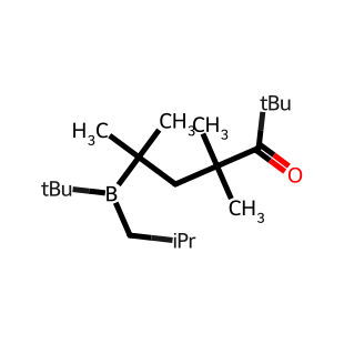 CC(C)CB(C(C)(C)C)C(C)(C)CC(C)(C)C(=O)C(C)(C)C